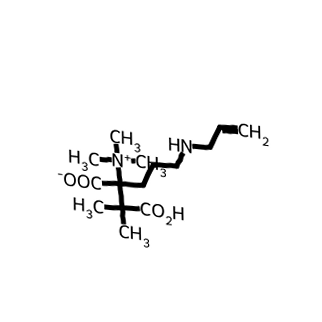 C=CCNCCCC(C(=O)[O-])(C(C)(C)C(=O)O)[N+](C)(C)C